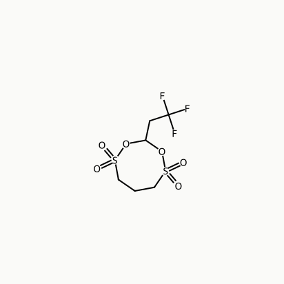 O=S1(=O)CCCS(=O)(=O)OC(CC(F)(F)F)O1